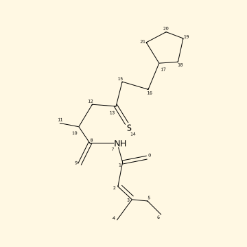 C=C(/C=C(/C)CC)NC(=C)C(C)CC(=S)CCC1CCCC1